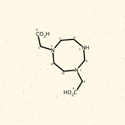 O=C(O)CN1CCNCN(CC(=O)O)CC1